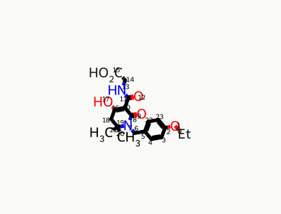 CCOc1ccc(CN2C(=O)C(C(=O)NCC(=O)O)=C(O)CC2(C)C)cc1